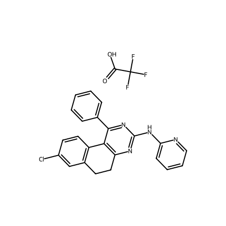 Clc1ccc2c(c1)CCc1nc(Nc3ccccn3)nc(-c3ccccc3)c1-2.O=C(O)C(F)(F)F